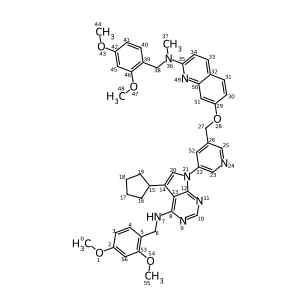 COc1ccc(CNc2ncnc3c2c(C2CCCC2)cn3-c2cncc(COc3ccc4ccc(N(C)Cc5ccc(OC)cc5OC)nc4c3)c2)c(OC)c1